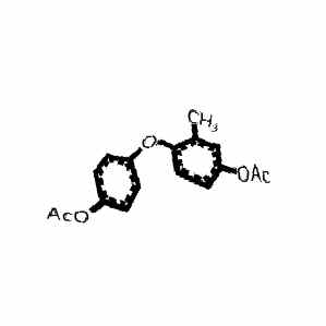 CC(=O)Oc1ccc(Oc2ccc(OC(C)=O)cc2C)cc1